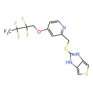 FC(F)(F)C(F)(F)C(F)(F)COc1ccnc(CSc2nc3cscc3[nH]2)c1